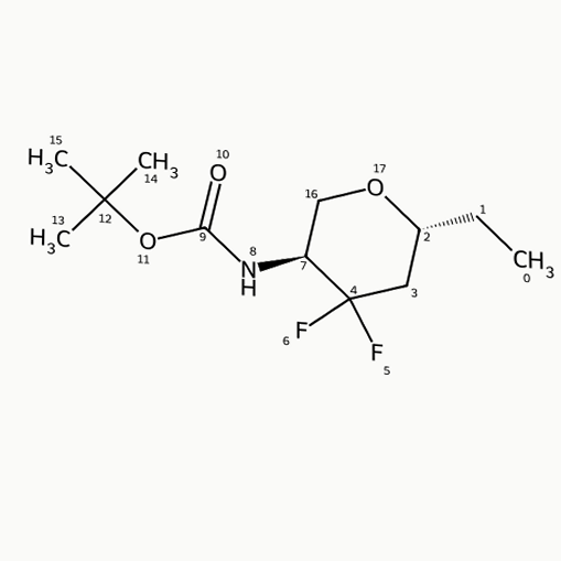 CC[C@@H]1CC(F)(F)[C@@H](NC(=O)OC(C)(C)C)CO1